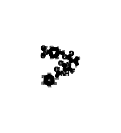 C=C(C)C(C(=O)OCc1ccc([N+](=O)[O-])cc1)N1C(=O)C(NC(C)=O)C1F.c1cc2cc(c1)O2